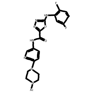 CC(=O)N1CCN(c2ccc(NC(=O)c3nnc(Nc4cc(F)ccc4F)o3)cn2)CC1